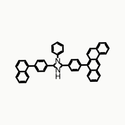 c1ccc(N2C(c3ccc(-c4cccc5ccccc45)cc3)NC2c2ccc(-c3c4ccccc4cc4c3ccc3ccccc34)cc2)cc1